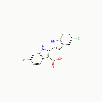 O=C(O)c1c(-c2cc3cc(Cl)ccc3[nH]2)[nH]c2cc(Br)ccc12